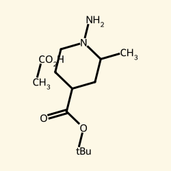 CC(=O)O.CC1CC(C(=O)OC(C)(C)C)CCN1N